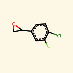 Fc1cc(C2CO2)ccc1Cl